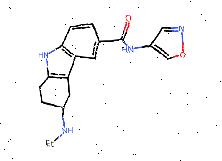 CCNC1CCc2[nH]c3ccc(C(=O)Nc4cnoc4)cc3c2C1